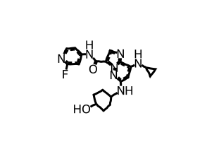 O=C(Nc1ccnc(F)c1)c1cnc2c(NC3CC3)cc(NC3CCC(O)CC3)nn12